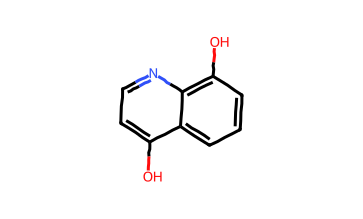 Oc1ccnc2c(O)cccc12